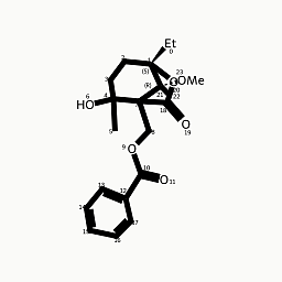 CC[C@@]12CCC(C)(O)C(COC(=O)c3ccccc3)(C(=O)O1)[C@@]2(C)OC